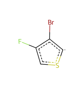 Fc1cs[c]c1Br